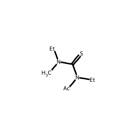 CCN(C)C(=S)N(CC)C(C)=O